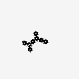 c1ccc(-c2ccc(-c3cc(-c4ccccc4)cc(-c4ccc(-c5cc(-c6ccncc6)nc(-c6ccncc6)n5)cc4)c3)cc2)cc1